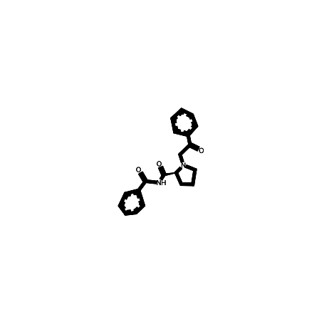 O=C(CN1CCC[C@H]1C(=O)NC(=O)c1ccccc1)c1ccccc1